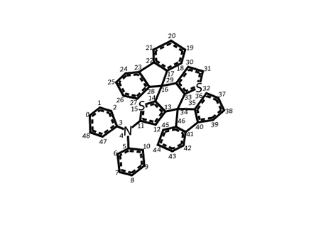 c1ccc(N(c2ccccc2)c2cc3c(s2)C2(c4ccccc4-c4ccccc42)c2ccsc2C32c3ccccc3-c3ccccc32)cc1